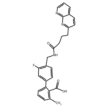 Cc1cccc(-c2ccc(CNC(=O)CCCc3ccc4cccnc4n3)c(F)c2)c1C(=O)O